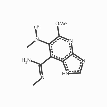 CCCN(C)c1c(OC)nc2nc[nH]c2c1C(N)=NC